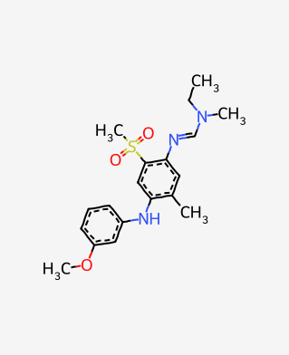 CCN(C)C=Nc1cc(C)c(Nc2cccc(OC)c2)cc1S(C)(=O)=O